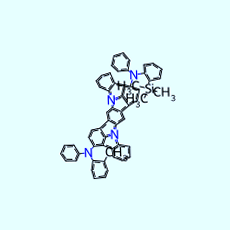 Cc1ccccc1N(c1ccccc1)c1ccc2c3cc4c(cc3n3c5ccccc5c1c23)c1ccc(N(c2ccccc2)c2ccccc2[Si](C)(C)C)c2c3ccccc3n4c12